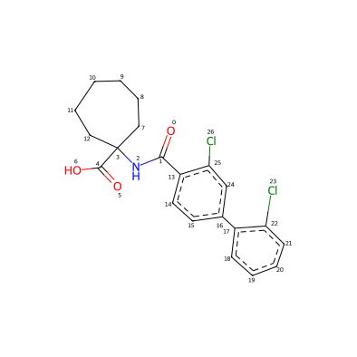 O=C(NC1(C(=O)O)CCCCCC1)c1ccc(-c2ccccc2Cl)cc1Cl